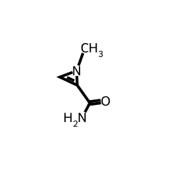 CN1C=C1C(N)=O